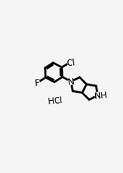 Cl.Fc1ccc(Cl)c(N2CC3CNCC3C2)c1